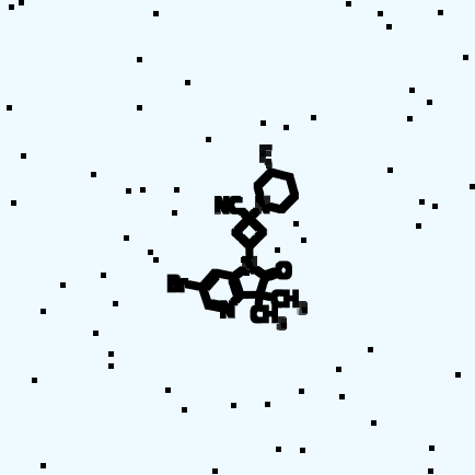 CC1(C)C(=O)N(C2CC(C#N)(N3CCC[C@@H](F)C3)C2)c2cc(Br)cnc21